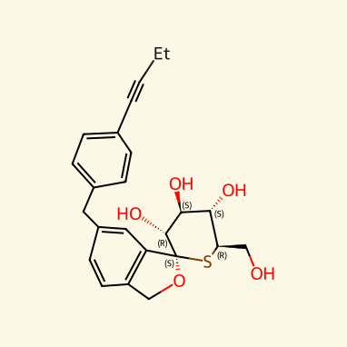 CCC#Cc1ccc(Cc2ccc3c(c2)[C@]2(OC3)S[C@H](CO)[C@@H](O)[C@H](O)[C@H]2O)cc1